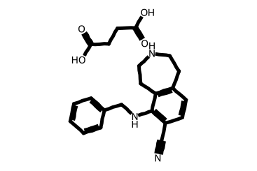 N#Cc1ccc2c(c1NCc1ccccc1)CCNCC2.O=C(O)CCC(=O)O